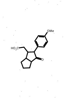 COc1ccc(C2C(=O)C3CCCC3C2CC(=O)O)cc1